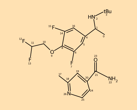 CC(NC(C)(C)C)c1cc(F)c(OCC(F)F)c(F)c1.Cc1cc(C(N)=O)ccn1